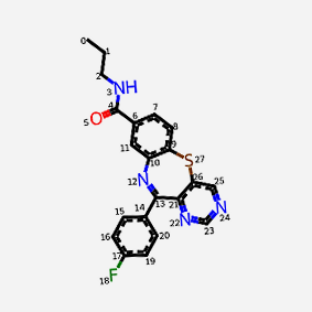 CCCNC(=O)c1ccc2c(c1)N=C(c1ccc(F)cc1)c1ncncc1S2